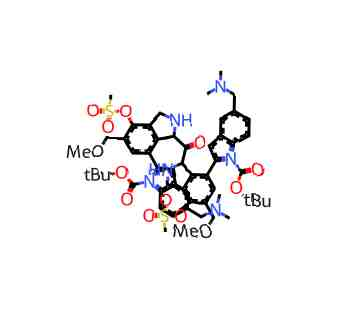 COCc1cc(-c2cc3cc(CN(C)C)ccc3n2C(=O)OC(C)(C)C)c2c(c1OS(C)(=O)=O)CNC2C(=O)C1NCc2c(OS(C)(=O)=O)c(COC)cc(-c3cc4cc(CN(C)C)ccc4n3C(=O)OC(C)(C)C)c21